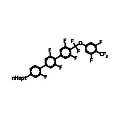 CCCCCCCc1ccc(-c2cc(F)c(-c3cc(F)c(C(F)(F)Oc4cc(F)c(C(F)(F)F)c(F)c4)c(F)c3)c(F)c2)c(F)c1